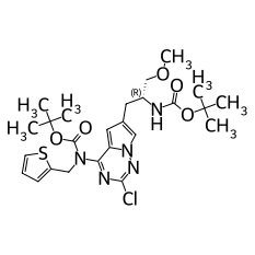 COC[C@@H](Cc1cc2c(N(Cc3cccs3)C(=O)OC(C)(C)C)nc(Cl)nn2c1)NC(=O)OC(C)(C)C